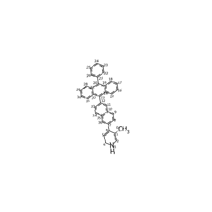 CC1=CNCC=C1c1ccc2cc(-c3c4ccccc4c(-c4ccccc4)c4ccccc34)ccc2c1